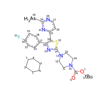 C1CCCCC1.CC(C)(C)OC(=O)N1CCN(c2nc(-c3ccc(F)cc3)c(-c3ccnc([AsH2])n3)s2)CC1